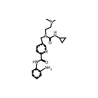 CN(C)CCN(Cc1ccc(C(=O)Nc2ccccc2N)nc1)C(=O)NC1CC1